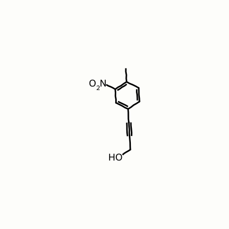 Cc1ccc(C#CCO)cc1[N+](=O)[O-]